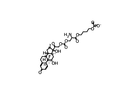 C[C@@H]1C[C@H]2[C@@H]3CCC4=CC(=O)C=C[C@]4(C)[C@@]3(F)[C@@H](O)C[C@]2(C)[C@@]1(O)C(=O)COC(=O)OCC(N)C(=O)OCCCCO[N+](=O)[O-]